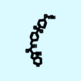 CCCCOc1ccc(S(=O)(=O)c2ccc(CNC(=O)c3cc4cnccc4[nH]3)cc2)cc1